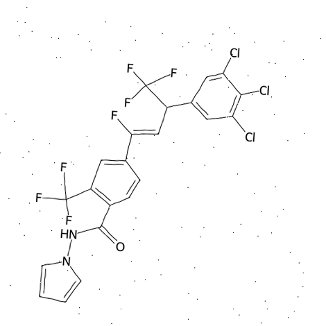 O=C(Nn1cccc1)c1ccc(C(F)=CC(c2cc(Cl)c(Cl)c(Cl)c2)C(F)(F)F)cc1C(F)(F)F